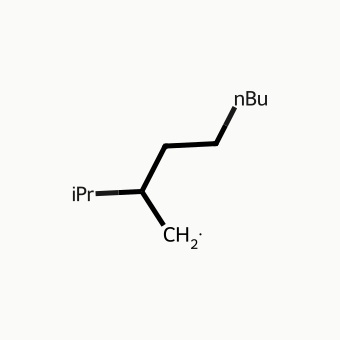 [CH2]C(CCCCCC)C(C)C